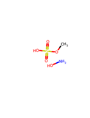 COS(=O)(=O)O.NO